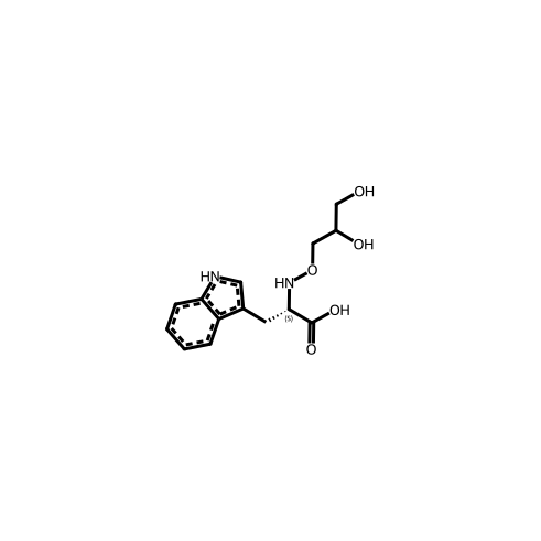 O=C(O)[C@H](Cc1c[nH]c2ccccc12)NOCC(O)CO